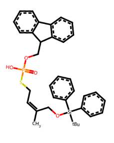 CC(=CCSP(=O)(O)OCC1c2ccccc2-c2ccccc21)CO[Si](c1ccccc1)(c1ccccc1)C(C)(C)C